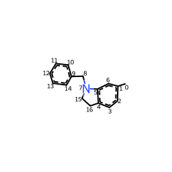 Cc1ccc2c(c1)N(Cc1ccccc1)CC2